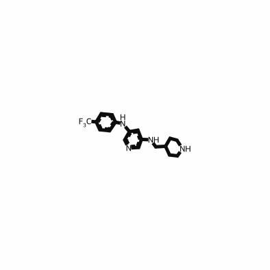 FC(F)(F)c1ccc(Nc2cncc(NCC3CCNCC3)c2)cc1